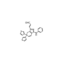 O=CC=Cn1nc(Nc2ccccc2)c2c1CC(c1ccsc1)(c1ccsc1)C=C2